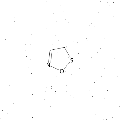 [C]1C=NOS1